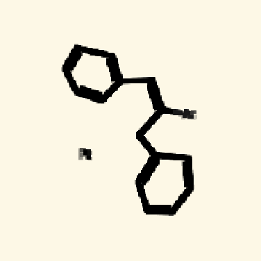 CC(=O)C(=Cc1ccccc1)Cc1ccccc1.[Pt]